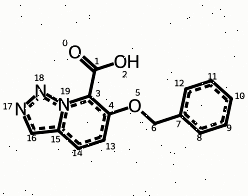 O=C(O)c1c(OCc2ccccc2)ccc2cnnn12